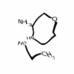 C1COCCN1.CCO.N